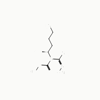 CC(C)(C)OC(=O)N(/C(N)=N\[N+](=O)[O-])[C@H](CCCN)C(=O)O